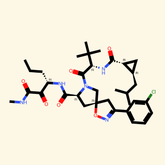 CCC[C@H](NC(=O)[C@@H]1C[C@]2(CC(c3cccc(Cl)c3)=NO2)CN1C(=O)[C@@H](NC(=O)[C@@H]1C[C@H]1CC(C)C)C(C)(C)C)C(=O)C(=O)NC